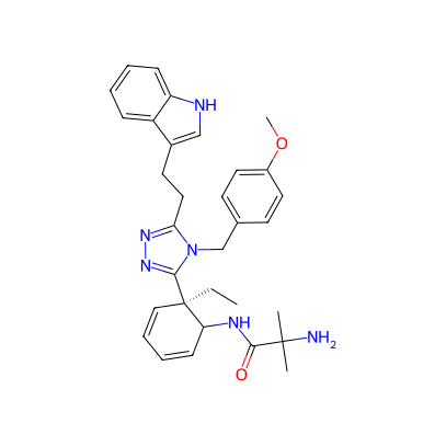 CC[C@@]1(c2nnc(CCc3c[nH]c4ccccc34)n2Cc2ccc(OC)cc2)C=CC=CC1NC(=O)C(C)(C)N